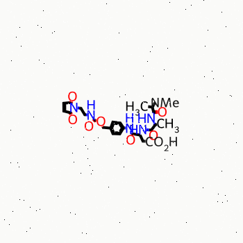 CNC(C)C(=O)NC(C)C(=O)NC(CC(=O)O)C(=O)Nc1ccc(COC(=O)NCCN2C(=O)C=CC2=O)cc1